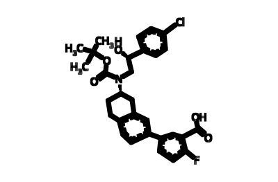 CC(C)(C)OC(=O)N(C[C@@H](O)c1ccc(Cl)cc1)[C@H]1CCc2ccc(-c3ccc(F)c(C(=O)O)c3)cc2C1